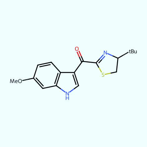 COc1ccc2c(C(=O)C3=NC(C(C)(C)C)CS3)c[nH]c2c1